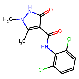 Cc1c(C(=O)Nc2c(Cl)cccc2Cl)c(=O)[nH]n1C